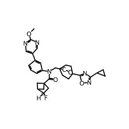 COc1ncc(-c2cccc(N(CC34CCC(c5nc(C6CC6)no5)(CC3)CC4)C(=O)C34CC(C3)[C@@H](F)C4)c2)cn1